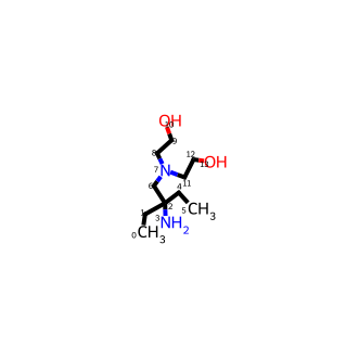 CCC(N)(CC)CN(CCO)CCO